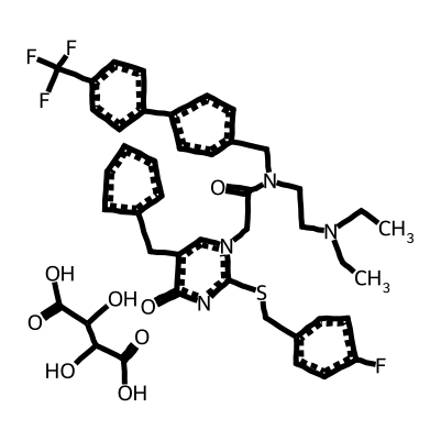 CCN(CC)CCN(Cc1ccc(-c2ccc(C(F)(F)F)cc2)cc1)C(=O)Cn1cc(Cc2ccccc2)c(=O)nc1SCc1ccc(F)cc1.O=C(O)C(O)C(O)C(=O)O